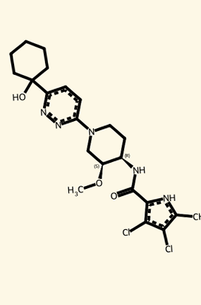 CO[C@H]1CN(c2ccc(C3(O)CCCCC3)nn2)CC[C@H]1NC(=O)c1[nH]c(C)c(Cl)c1Cl